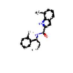 Cc1ccccc1C(CC(=O)O)NC(=O)c1cc2cccc(C)c2[nH]1